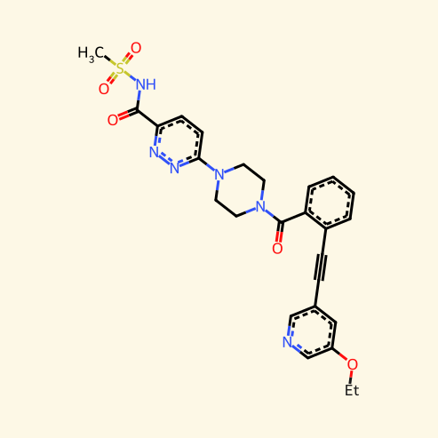 CCOc1cncc(C#Cc2ccccc2C(=O)N2CCN(c3ccc(C(=O)NS(C)(=O)=O)nn3)CC2)c1